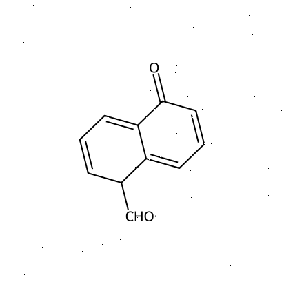 O=[C]C1C=CC=C2C(=O)C=CC=C21